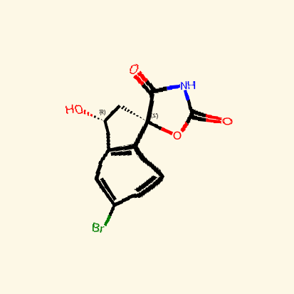 O=C1NC(=O)[C@@]2(C[C@@H](O)c3cc(Br)ccc32)O1